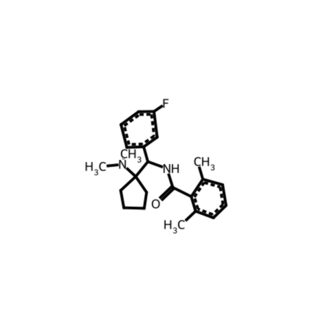 Cc1cccc(C)c1C(=O)NC(c1cccc(F)c1)C1(N(C)C)CCCC1